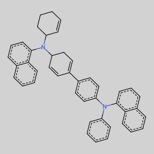 C1=CC(N(c2cccc3ccccc23)C2C=CC(c3ccc(N(c4ccccc4)c4cccc5ccccc45)cc3)=CC2)CCC1